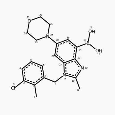 Cc1c(Cl)cccc1Cn1c(C)nc2c(B(O)O)cc(N3CCOCC3)cc21